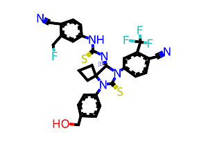 N#Cc1ccc(NC(=S)/N=C2/N(c3ccc(C#N)c(C(F)(F)F)c3)C(=S)N(c3ccc(CO)cc3)C23CCC3)cc1CF